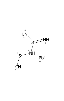 N#CSNC(=N)N.[Pb]